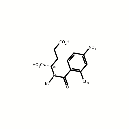 CCN(C(=O)c1ccc([N+](=O)[O-])cc1C(F)(F)F)[C@@H](CCC(=O)O)C(=O)O